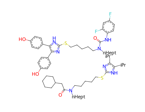 CCCCCCCN(CCCCCSc1nc(-c2ccc(O)cc2)c(-c2ccc(O)cc2)[nH]1)C(=O)Nc1ccc(F)cc1F.CCCCCCCN(CCCCCSc1nc(C(C)C)c(C(C)C)[nH]1)C(=O)CC1CCCCC1